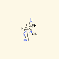 C[C@@H]1[C@H]2CNC[C@H]2C[C@@H]1N(C)c1ncnc2[nH]ccc12